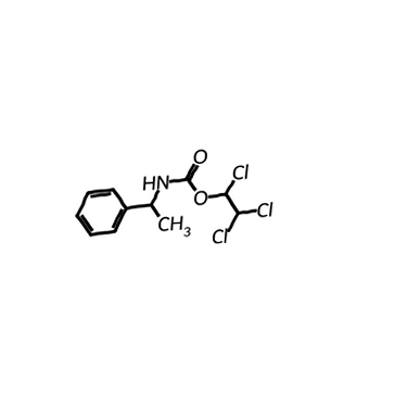 CC(NC(=O)OC(Cl)C(Cl)Cl)c1ccccc1